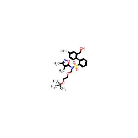 Cc1noc(N(COCCO[Si](C)(C)C)S(=O)(=O)c2ccccc2-c2ccc(C=O)cc2CO)c1C